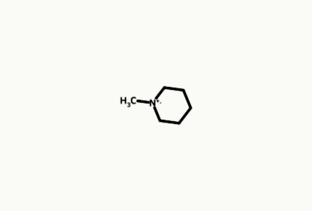 C[N+]1CCCCC1